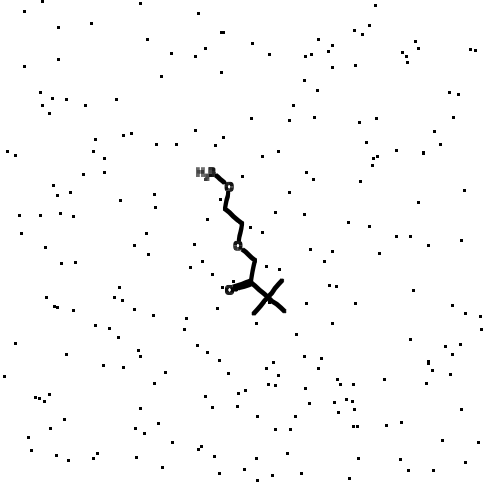 BOCCOCC(=O)C(C)(C)C